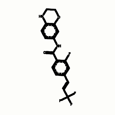 O=C(Nc1ccc2c(c1)OCCN2)c1ccc(C=CC(F)(F)F)cc1F